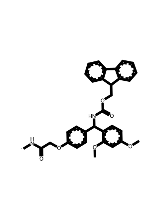 [CH2]NC(=O)COc1ccc(C(NC(=O)OCC2c3ccccc3-c3ccccc32)c2ccc(OC)cc2OC)cc1